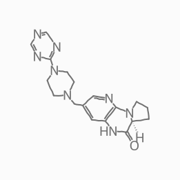 O=C1Nc2cc(CN3CCN(c4ncncn4)CC3)cnc2N2CCC[C@@H]12